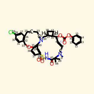 CN1C/C=C/[C@H](OC(=O)Oc2ccccc2)[C@@H]2CC[C@H]2CN2CCCCc3cc(Cl)ccc3COc3ccc(cc32)S(=O)(=O)NC(=O)C1(C)C